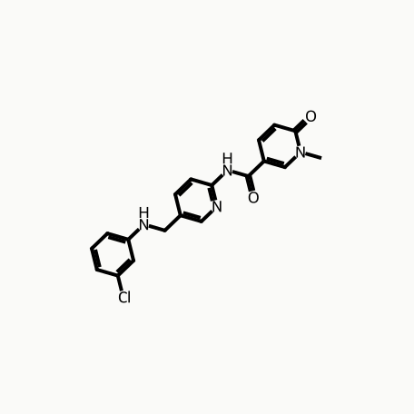 Cn1cc(C(=O)Nc2ccc(CNc3cccc(Cl)c3)cn2)ccc1=O